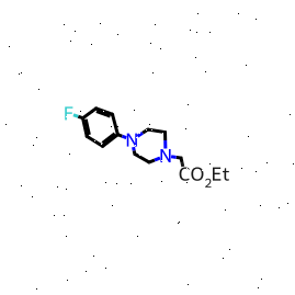 CCOC(=O)CN1CCN(c2ccc(F)cc2)CC1